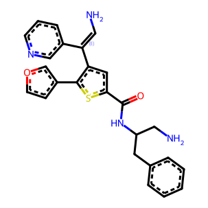 N/C=C(\c1cccnc1)c1cc(C(=O)NC(CN)Cc2ccccc2)sc1-c1ccoc1